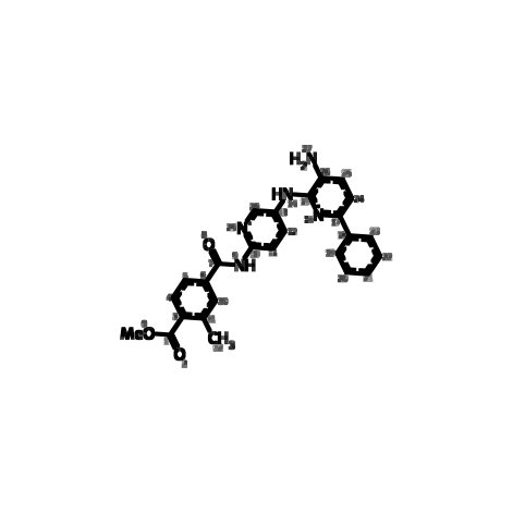 COC(=O)c1ccc(C(=O)Nc2ccc(Nc3nc(-c4ccccc4)ccc3N)cn2)cc1C